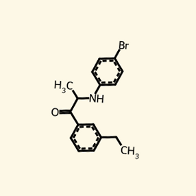 CCc1cccc(C(=O)C(C)Nc2ccc(Br)cc2)c1